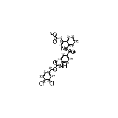 COC(=O)Cc1cnc(C(=O)c2ccc(NC(=O)OCc3ccc(Cl)c(Cl)c3)cc2)c2ccccc12